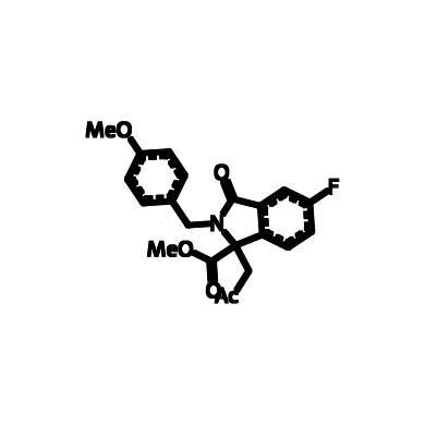 COC(=O)C1(CC(C)=O)c2ccc(F)cc2C(=O)N1Cc1ccc(OC)cc1